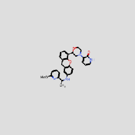 COc1cccc(C(C)Nc2ccc3c(c2)Cc2cccc(C4CN(c5ccc[nH]c5=O)CCO4)c2O3)n1